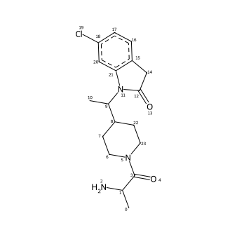 CC(N)C(=O)N1CCC(C(C)N2C(=O)Cc3ccc(Cl)cc32)CC1